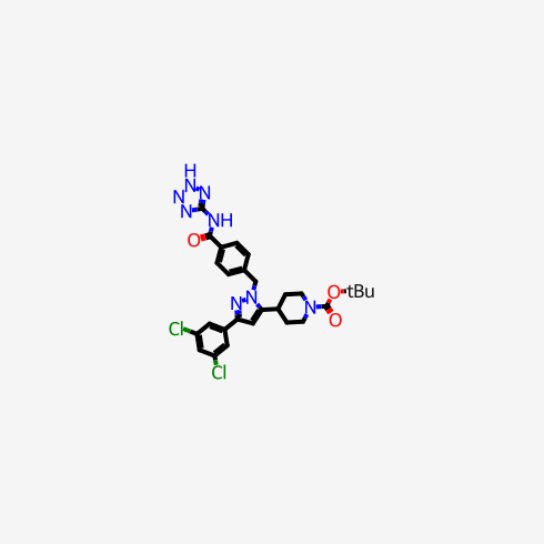 CC(C)(C)OC(=O)N1CCC(c2cc(-c3cc(Cl)cc(Cl)c3)nn2Cc2ccc(C(=O)Nc3nn[nH]n3)cc2)CC1